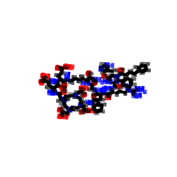 N=C(N)NCCC[C@H](NC(=O)[C@@H](Cc1ccccc1)NC(=O)[C@H](Cc1cnc[nH]1)NC(=O)CCCc1ccccc1)C(=O)N[C@@H](Cc1c[nH]c2ccccc12)C(=O)NCC(=O)N[C@@H](CCCCNC(=O)C(CCC(=O)O)NC(=O)C(CCC(=O)O)NC(=O)CN1CCN(CC(=O)O)CCN(CC(=O)O)CCN(CC(=O)O)CC1)C(N)=O